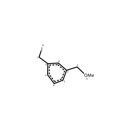 COCc1cccc(CI)c1